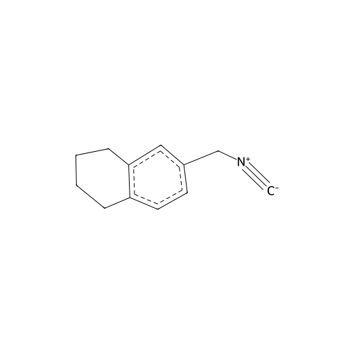 [C-]#[N+]Cc1ccc2c(c1)CCCC2